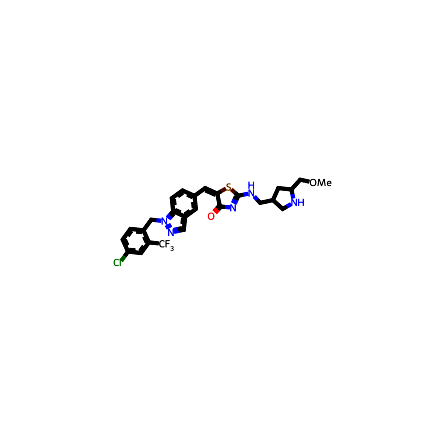 COCC1CC(CNC2=NC(=O)C(=Cc3ccc4c(cnn4Cc4ccc(Cl)cc4C(F)(F)F)c3)S2)CN1